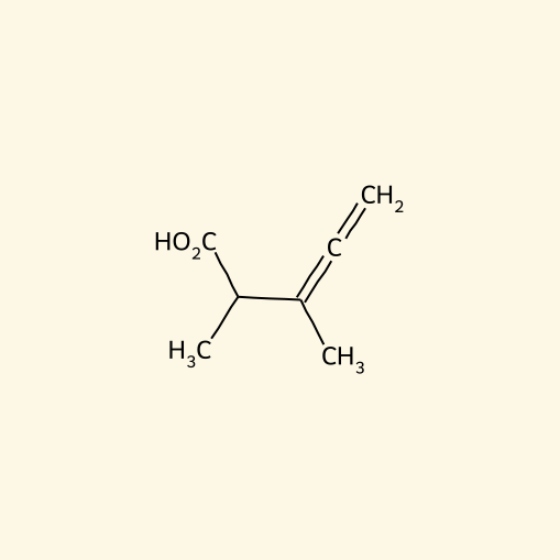 C=C=C(C)C(C)C(=O)O